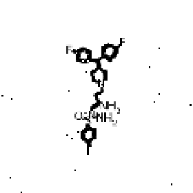 N/C(=C\N(N)[S+]([O-])c1ccc(F)cc1)CCN1CCC(=C(c2ccc(F)cc2)c2ccc(F)cc2)CC1